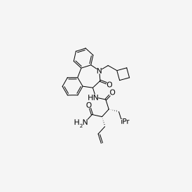 C=CC[C@H](C(N)=O)[C@@H](CC(C)C)C(=O)NC1C(=O)N(CC2CCC2)c2ccccc2-c2ccccc21